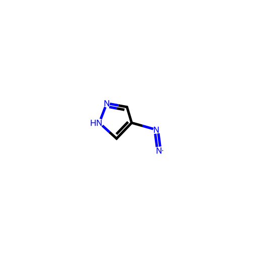 [N]=Nc1cn[nH]c1